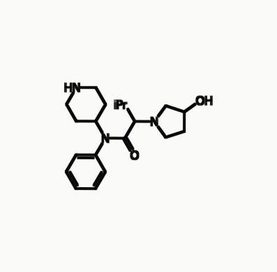 CC(C)C(C(=O)N(c1ccccc1)C1CCNCC1)N1CCC(O)C1